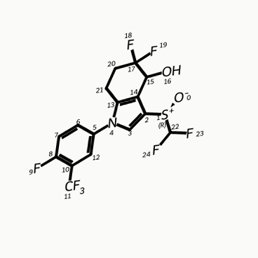 [O-][S@@+](c1cn(-c2ccc(F)c(C(F)(F)F)c2)c2c1C(O)C(F)(F)CC2)C(F)F